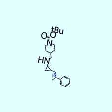 C/C(=C\C1CC1NCC1CCN(C(=O)OC(C)(C)C)CC1)c1ccccc1